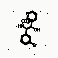 O=C(O)N[C@H](c1cccc(Br)c1)[C@H](O)c1cccnc1